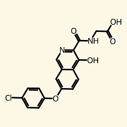 O=C(O)CNC(=O)c1ncc2cc(Oc3ccc(Cl)cc3)ccc2c1O